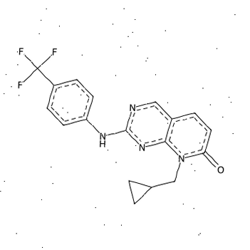 O=c1ccc2cnc(Nc3ccc(C(F)(F)F)cc3)nc2n1CC1CC1